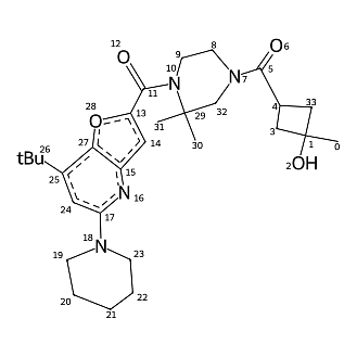 CC1(O)CC(C(=O)N2CCN(C(=O)c3cc4nc(N5CCCCC5)cc(C(C)(C)C)c4o3)C(C)(C)C2)C1